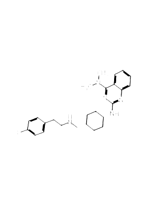 CN(C)c1nc(N[C@H]2CC[C@@H](CNCCc3ccc(F)cc3)CC2)nc2ccccc12